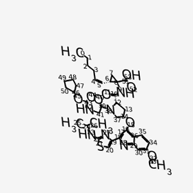 CCCC/C=C\[C@@H]1C[C@]1(NC(=O)[C@@H]1C[C@@H](Oc2cc(-c3csc(NC(C)C)n3)nc3cc(OC)ccc23)CN1C(=O)CNC(=O)OC1CCCC1)C(=O)O